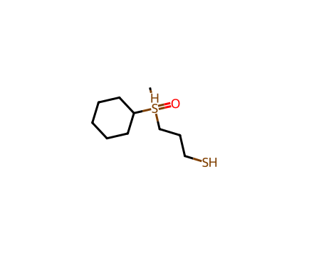 C[SH](=O)(CCCS)C1CCCCC1